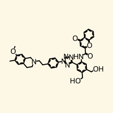 COc1cc2c(cc1C)CCN(CCc1ccc(-n3nnc(-c4cc(CO)c(CO)cc4NC(=O)c4cc(=O)c5ccccc5o4)n3)cc1)C2